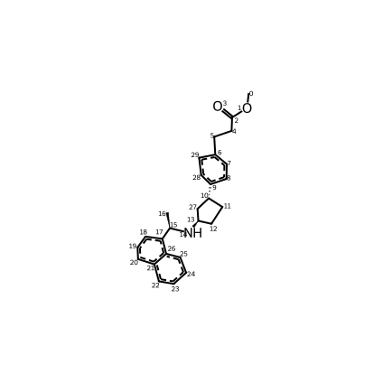 COC(=O)CCc1ccc([C@@H]2CC[C@@H](N[C@H](C)c3cccc4ccccc34)C2)cc1